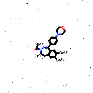 CC[C@H]1Cc2cc(OC)c(OC)cc2C(c2ccc(N3CCOCC3)cc2)=NN1C(=O)NC